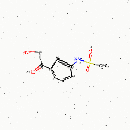 CS(=O)(=O)Nc1cccc(C(=O)CO)c1